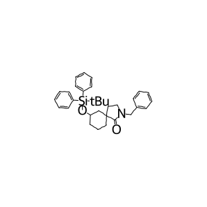 CC(C)(C)[Si](OC1CCCC2(CCN(Cc3ccccc3)C2=O)C1)(c1ccccc1)c1ccccc1